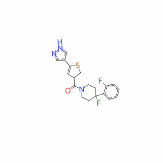 O=C(C1C=C(c2cn[nH]c2)SC1)N1CCC(F)(c2ccccc2F)CC1